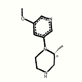 COc1cncc(N2CCNC[C@H]2C)c1